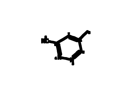 Cc1cnnc(C#N)c1